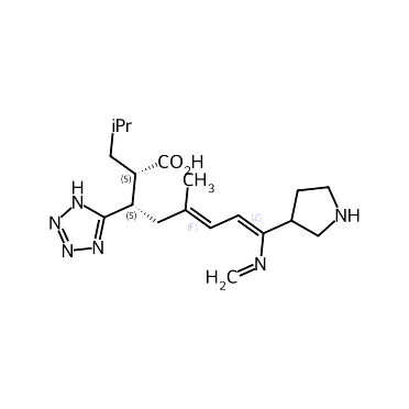 C=N/C(=C\C=C(/C)C[C@H](c1nnn[nH]1)[C@H](CC(C)C)C(=O)O)C1CCNC1